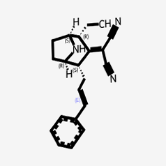 CC[C@@H]1C(=C(C#N)C#N)[C@H](C/C=C/c2ccccc2)[C@H]2CC[C@@H]1N2